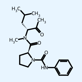 CC(=O)[C@@H](CC(C)C)N(C)C(=O)[C@@H]1CCCN1C(=O)Nc1ccccc1